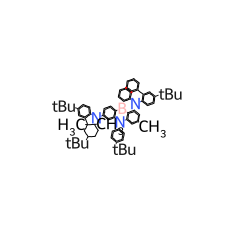 Cc1cc2c3c(c1)N(c1ccc(C(C)(C)C)cc1-c1ccccc1)c1ccccc1B3c1ccc(N3c4ccc(C(C)(C)C)cc4C4(C)CC(C(C)(C)C)CCC34C)cc1N2c1ccc(C(C)(C)C)cc1